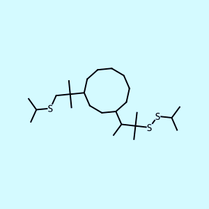 CC(C)SCC(C)(C)C1CCCCCCC(C(C)C(C)(C)SSC(C)C)CC1